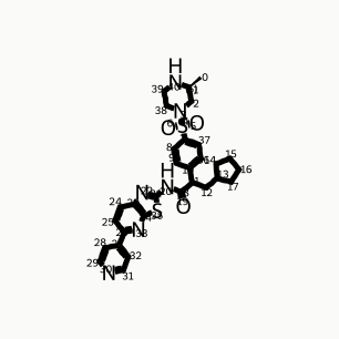 C[C@H]1CN(S(=O)(=O)c2ccc(C(CC3CCCC3)C(=O)Nc3nc4ccc(-c5ccncc5)nc4s3)cc2)CCN1